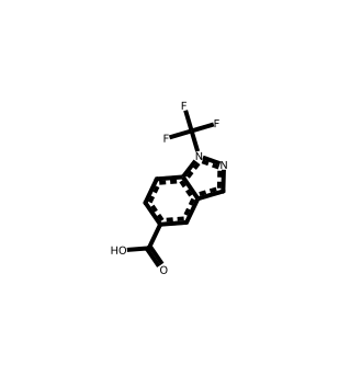 O=C(O)c1ccc2c(cnn2C(F)(F)F)c1